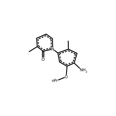 CCCOc1cc(-n2cccc(C)c2=O)c(C)cc1N